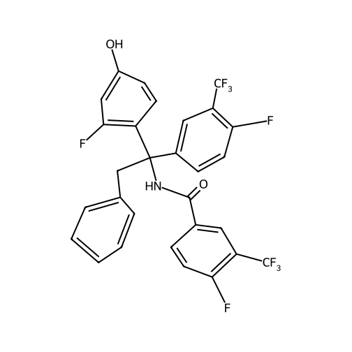 O=C(NC(Cc1ccccc1)(c1ccc(F)c(C(F)(F)F)c1)c1ccc(O)cc1F)c1ccc(F)c(C(F)(F)F)c1